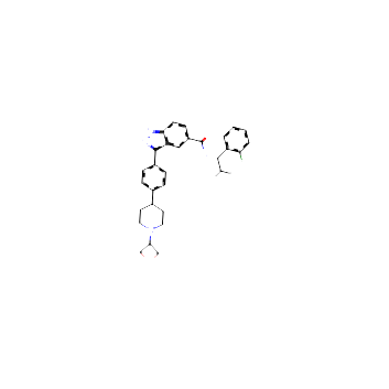 CC(C)[C@H](NC(=O)c1ccc2[nH]nc(-c3ccc(C4CCN(C5COC5)CC4)cc3)c2c1)c1ccccc1Cl